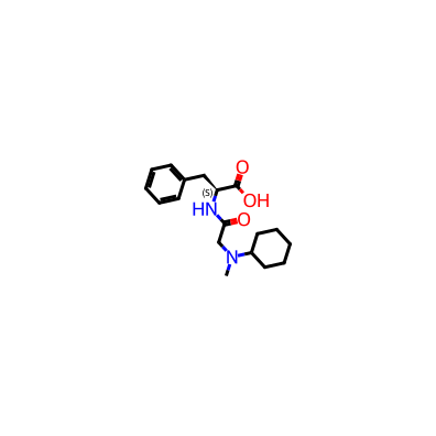 CN(CC(=O)N[C@@H](Cc1ccccc1)C(=O)O)C1CCCCC1